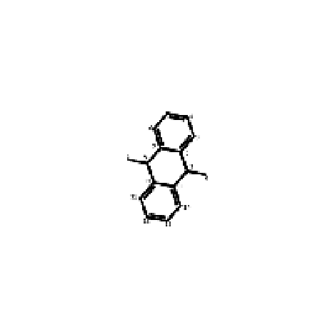 CC1c2ccccc2C(C)c2ccccc21